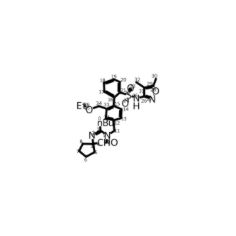 CCCC/C(=N/C1(C=O)CCCC1)N(C)Cc1ccc(-c2ccccc2S(=O)(=O)Nc2noc(C)c2C)c(COCC)c1